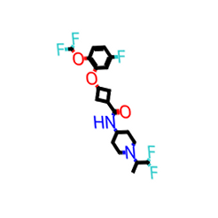 CC(C(F)F)N1CCC(NC(=O)C2CC(Oc3cc(F)ccc3OC(F)F)C2)CC1